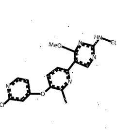 CCNc1ncc(-c2ccc(Oc3ccnc(Cl)c3)c(C)n2)c(OC)n1